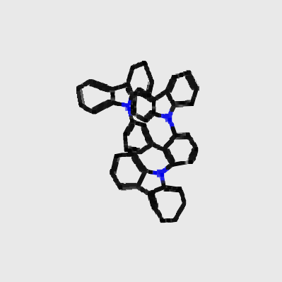 C1=Cc2c(c3ccccc3n2-c2cccc(-c3c(-n4c5c(c6ccccc64)=CCCCC=5)cccc3-n3c4ccccc4c4ccccc43)c2)CC1